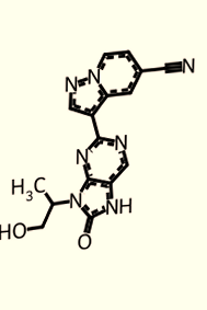 CC(CO)n1c(=O)[nH]c2cnc(-c3cnn4ccc(C#N)cc34)nc21